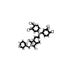 O=C1c2ccc(N(c3ccc(Cl)c(Cl)c3)c3ccc(Cl)c(Cl)c3)cc2C(=O)N1Cc1cccnc1